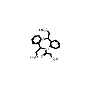 CCOC(=O)CC(=O)NC(CC(=O)OCC)c1ccccc1.CCOC(=O)CC(N)c1ccccc1